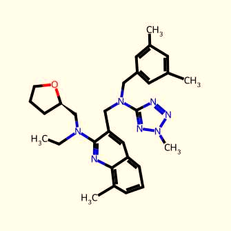 CCN(C[C@H]1CCCO1)c1nc2c(C)cccc2cc1CN(Cc1cc(C)cc(C)c1)c1nnn(C)n1